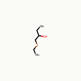 CC(C)(C)CSCC(O)CC(C)(C)C